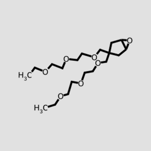 CCOCCOCCOCC1(COCCOCCOCC)CC2OC2C1